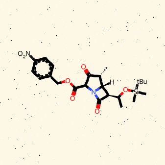 CC(O[Si](C)(C)C(C)(C)C)[C@H]1C(=O)N2C(C(=O)OCc3ccc([N+](=O)[O-])cc3)C(=O)[C@H](C)[C@H]12